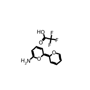 NC1=CC=CC(=C2C=CC=CO2)O1.O=C(O)C(F)(F)F